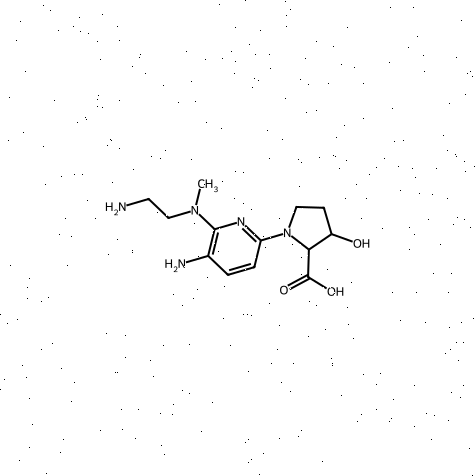 CN(CCN)c1nc(N2CCC(O)C2C(=O)O)ccc1N